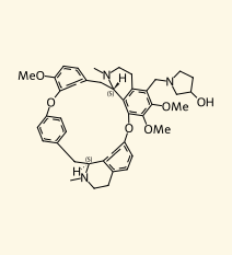 COc1ccc2cc1Oc1ccc(cc1)C[C@H]1c3cc(ccc3CCN1C)Oc1c(OC)c(OC)c(CN3CCC(O)C3)c3c1[C@H](C2)N(C)CC3